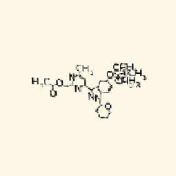 CC(=O)OCc1nc(C)cc(-c2nn(C3CCCCO3)c3ccc(O[Si](C)(C)C(C)(C)C)cc23)n1